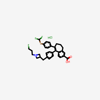 Cl.O=C(O)c1ccc2c(c1)CCCC(c1ccc(SC(F)F)cc1)=C2c1ccc(CC2CN(CCCF)C2)cc1